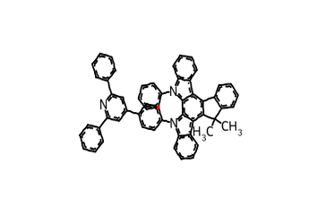 CC1(C)c2ccccc2-c2c1c1c3ccccc3n(-c3ccc(-c4cc(-c5ccccc5)nc(-c5ccccc5)c4)cc3)c1c1c2c2ccccc2n1-c1ccccc1